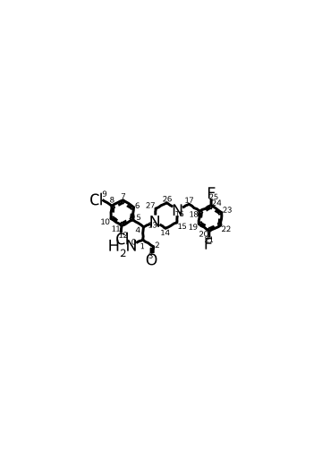 NC(C=O)C(c1ccc(Cl)cc1Cl)N1CCN(Cc2cc(F)ccc2F)CC1